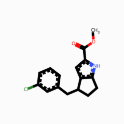 COC(=O)c1cc2c([nH]1)CCC2Cc1cccc(Cl)c1